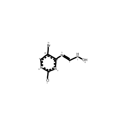 ONC=Nc1nc(Cl)ncc1Br